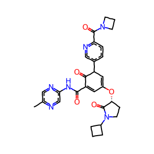 Cc1cnc(NC(=O)C2=CC(O[C@@H]3CCN(C4CCC4)C3=O)=CC(c3ccc(C(=O)N4CCC4)nc3)C2=O)cn1